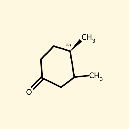 CC1CC(=O)CC[C@H]1C